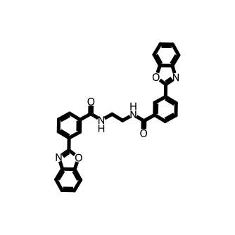 O=C(NCCNC(=O)c1cccc(-c2nc3ccccc3o2)c1)c1cccc(-c2nc3ccccc3o2)c1